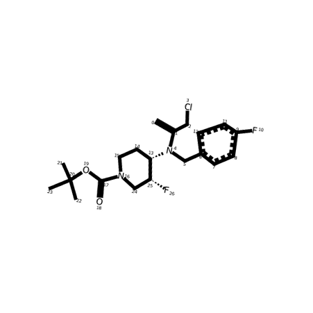 C=C(CCl)N(Cc1ccc(F)cc1)[C@H]1CCN(C(=O)OC(C)(C)C)C[C@H]1F